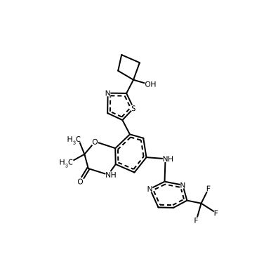 CC1(C)Oc2c(cc(Nc3nccc(C(F)(F)F)n3)cc2-c2cnc(C3(O)CCC3)s2)NC1=O